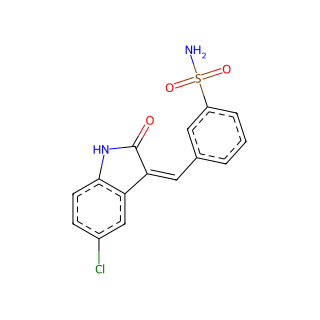 NS(=O)(=O)c1cccc(C=C2C(=O)Nc3ccc(Cl)cc32)c1